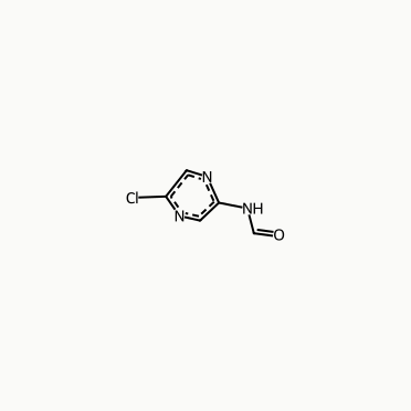 O=CNc1cnc(Cl)cn1